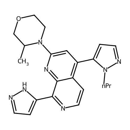 CCCn1nccc1-c1cc(N2CCOCC2C)nc2c(-c3ccn[nH]3)nccc12